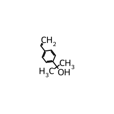 C=Cc1ccc(C(C)(C)O)cc1